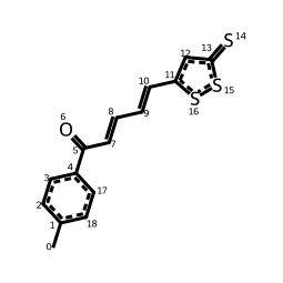 Cc1ccc(C(=O)C=CC=Cc2cc(=S)ss2)cc1